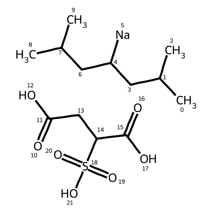 CC(C)C[CH]([Na])CC(C)C.O=C(O)CC(C(=O)O)S(=O)(=O)O